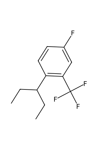 CCC(CC)c1ccc(F)cc1C(F)(F)F